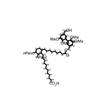 CCCCCC1CCC(CCCCCCCCC(=O)OCc2cc(OC)c(OC)c(-c3cc(CO)cc(OC)c3OC)c2)C(CCCCCCCCCCCC(=O)O)C1CCCCC